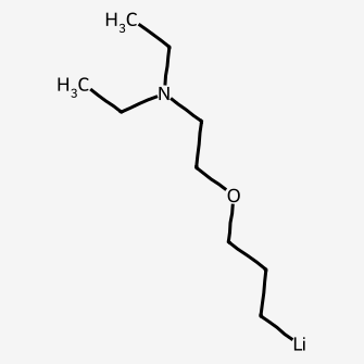 [Li][CH2]CCOCCN(CC)CC